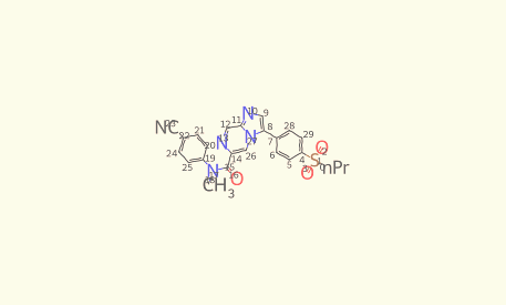 CCCS(=O)(=O)c1ccc(-c2cnc3cnc(C(=O)N(C)c4ccc(C#N)cc4)cn23)cc1